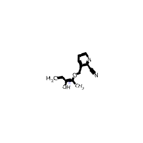 C=C/C(O)=C(/C)OCc1cccnc1C#N